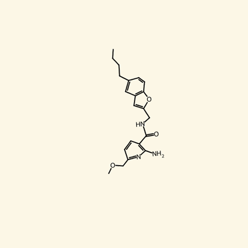 CCCCc1ccc2oc(CNC(=O)c3ccc(COC)nc3N)cc2c1